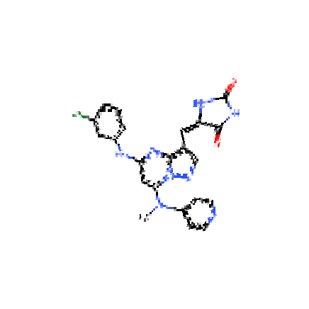 CN(c1ccncc1)c1cc(Nc2cccc(Cl)c2)nc2c(/C=C3/NC(=O)NC3=O)cnn12